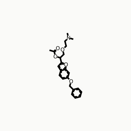 CC(=O)OC(COCCN(C)C)c1cc2ccc(OCc3ccccc3)cc2o1